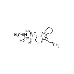 C=CCOC1=CCC(C(=O)/C(C=N)=C(\O)NC)C(C)=C1N=S1(=O)CCCCC1